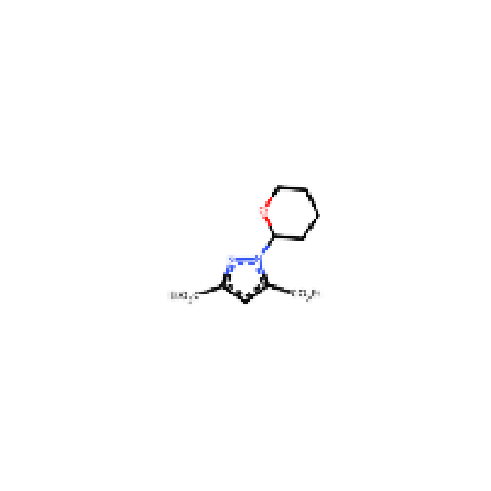 CCOC(=O)c1cc(C(=O)OCC)n(C2CCCCO2)n1